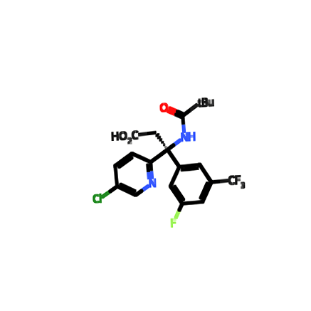 CC(C)(C)C(=O)N[C@@](CC(=O)O)(c1cc(F)cc(C(F)(F)F)c1)c1ccc(Cl)cn1